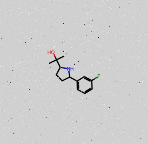 CC(C)(O)C1CCC(c2cccc(F)c2)N1